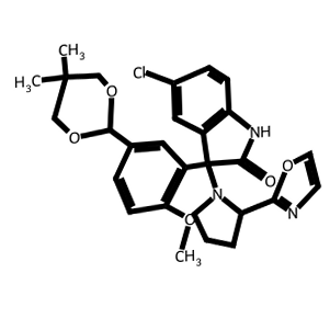 COc1ccc(C2OCC(C)(C)CO2)cc1C1(N2CCCC2c2ncco2)C(=O)Nc2ccc(Cl)cc21